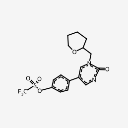 O=c1ncc(-c2ccc(OS(=O)(=O)C(F)(F)F)cc2)cn1CC1CCCCO1